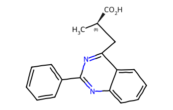 C[C@H](Cc1nc(-c2ccccc2)nc2ccccc12)C(=O)O